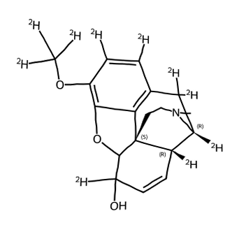 [2H]c1c([2H])c2c3c(c1OC([2H])([2H])[2H])OC1C([2H])(O)C=C[C@]4([2H])[C@@]31CCN(C)[C@]4([2H])C2([2H])[2H]